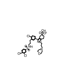 CS(=O)(=O)N1CCc2c(c(-c3ccc(Cl)c(CCCNS(=O)(=O)c4ccc(Cl)c(Cl)c4)c3)nn2CCCN2CCOCC2)C1